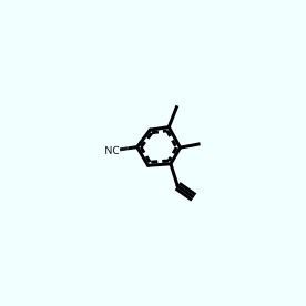 C#Cc1cc(C#N)cc(C)c1C